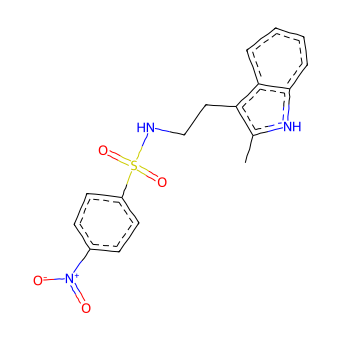 Cc1[nH]c2ccccc2c1CCNS(=O)(=O)c1ccc([N+](=O)[O-])cc1